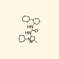 Cc1cc(NC(=O)Nc2ccccc2-c2ccccc2)n(-c2ccccc2)n1